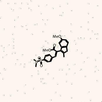 COC(=O)C(=Cc1ccc(S(=O)(=O)N(C)C)cc1)C1=C(C)Cc2ccc(OC)cc21